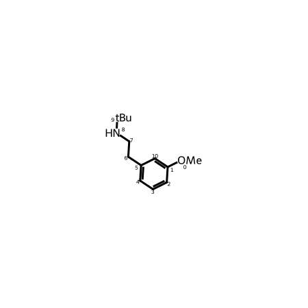 COc1cccc(CCNC(C)(C)C)c1